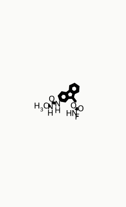 CNC(=O)Nc1ccc2c(c1)C(COC(=O)NF)c1ccccc1-2